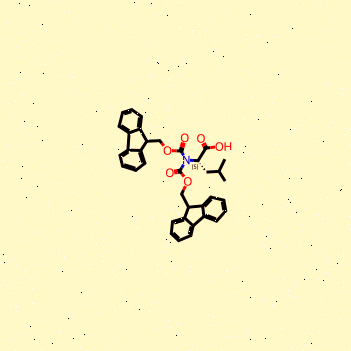 CC(C)C[C@@H](C(=O)O)N(C(=O)OCC1c2ccccc2-c2ccccc21)C(=O)OCC1c2ccccc2-c2ccccc21